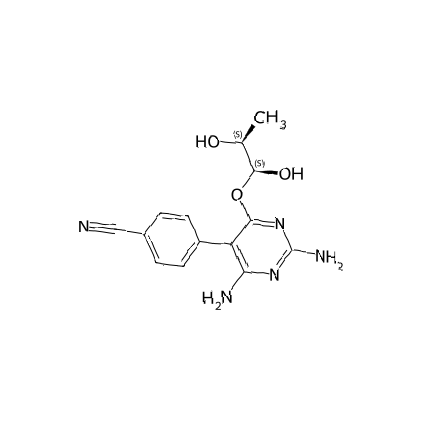 C[C@H](O)[C@@H](O)Oc1nc(N)nc(N)c1-c1ccc(C#N)cc1